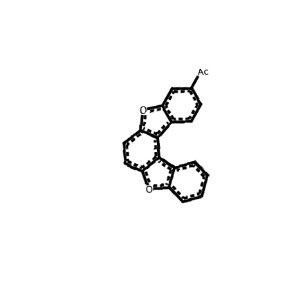 CC(=O)c1ccc2c(c1)oc1ccc3oc4ccccc4c3c12